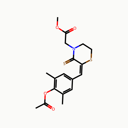 COC(=O)CN1CCSC(=Cc2cc(C)c(OC(C)=O)c(C)c2)C1=S